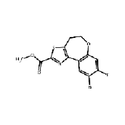 COC(=O)c1nc2c(s1)CCOc1cc(F)c(Br)cc1-2